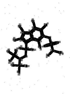 [2H]c1c(CS(=O)(=O)N([2H])C)c([2H])c2c(C([2H])([2H])CN(C([2H])([2H])[2H])C([2H])([2H])[2H])c([2H])n([2H])c2c1[2H]